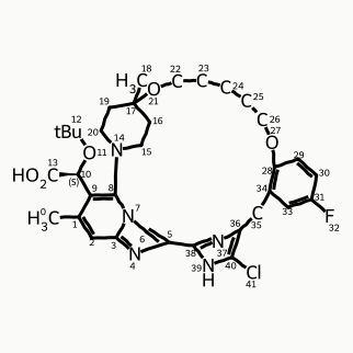 Cc1cc2nc3cn2c(c1[C@H](OC(C)(C)C)C(=O)O)N1CCC(C)(CC1)OCCCCCOc1ccc(F)cc1Cc1nc-3[nH]c1Cl